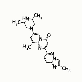 Cc1cn2nc(-c3cc(=O)n4cc(N5CC(C)NC(C)C5)cc(C)c4n3)ccc2n1